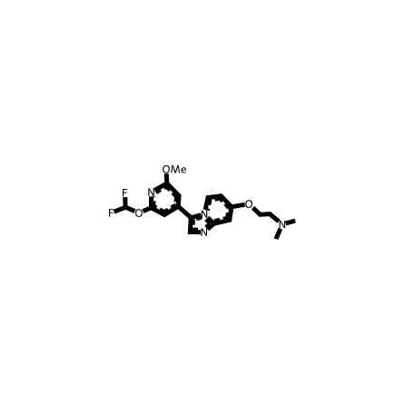 COc1cc(-c2cnc3cc(OCCN(C)C)ccn23)cc(OC(F)F)n1